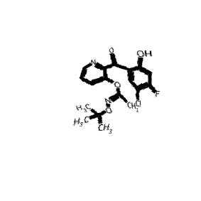 CC(=NOC(C)(C)C)Oc1cccnc1C(=O)c1cc(Cl)c(F)cc1O